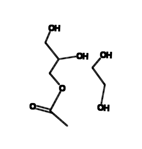 CC(=O)OCC(O)CO.OCCO